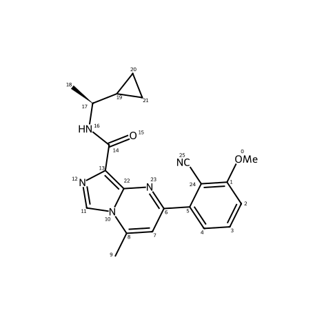 COc1cccc(-c2cc(C)n3cnc(C(=O)N[C@@H](C)C4CC4)c3n2)c1C#N